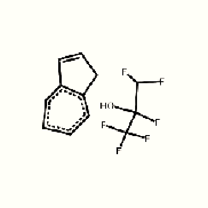 C1=Cc2ccccc2C1.OC(F)(C(F)F)C(F)(F)F